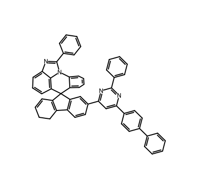 C1=CC2=C(CC1)c1ccc(-c3cc(-c4ccc(-c5ccccc5)cc4)nc(-c4ccccc4)n3)cc1C21c2ccccc2-n2c(-c3ccccc3)nc3cccc1c32